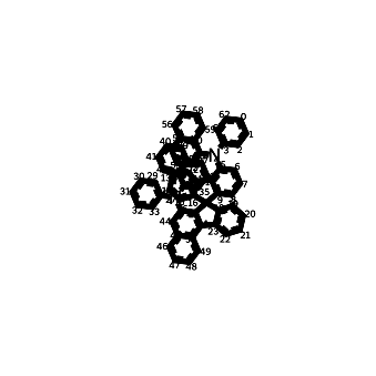 c1ccc(N(c2cccc3c2-c2ccccc2C32c3ccccc3-c3c2c(N(c2ccccc2)c2cccc4ccccc24)cc2ccccc32)c2cccc3ccccc23)cc1